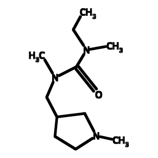 CCN(C)C(=O)N(C)CC1CCN(C)C1